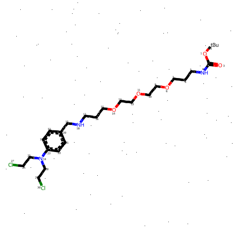 CC(C)(C)OC(=O)NCCCOCCOCCOCCCNCc1ccc(N(CCCl)CCCl)cc1